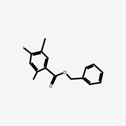 Cc1cc(C(=O)OCc2ccccc2)c(C)cc1I